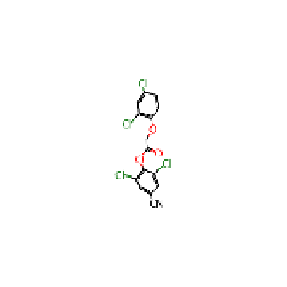 N#Cc1cc(Cl)c(OC(=O)COc2ccc(Cl)cc2Cl)c(Cl)c1